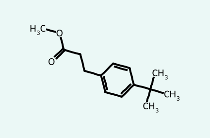 COC(=O)CCc1ccc(C(C)(C)C)cc1